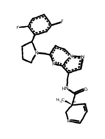 C[C@@]1(C(=O)Nc2cnn3ccc(N4CCCC4c4cc(F)ccc4F)nc23)C=CC=NC1